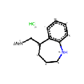 CNCC1CCCNc2ccccc21.Cl